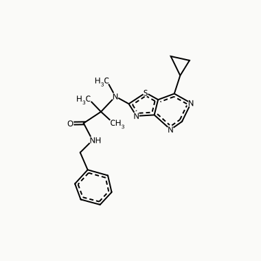 CN(c1nc2ncnc(C3CC3)c2s1)C(C)(C)C(=O)NCc1ccccc1